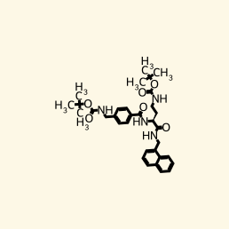 CC(C)(C)OC(=O)NCC[C@H](NC(=O)c1ccc(CNC(=O)OC(C)(C)C)cc1)C(=O)NCc1cccc2ccccc12